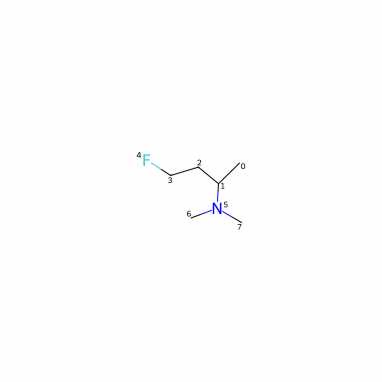 CC(CCF)N(C)C